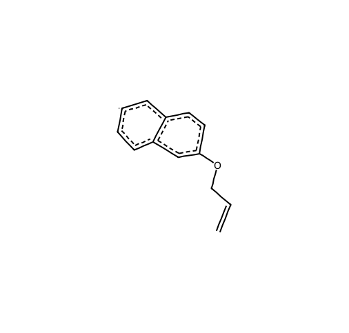 C=CCOc1ccc2c[c]ccc2c1